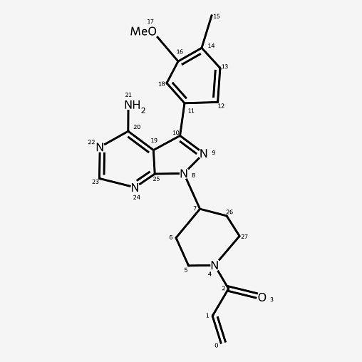 C=CC(=O)N1CCC(n2nc(-c3ccc(C)c(OC)c3)c3c(N)ncnc32)CC1